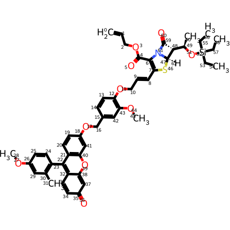 C=CCOC(=O)C1=C(/C=C/COc2ccc(COc3ccc4c(-c5ccc(OC)cc5C)c5ccc(=O)cc-5oc4c3)cc2OC)S[C@@H]2[C@@H]([C@@H](C)O[Si](CC)(CC)CC)C(=O)N12